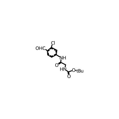 CC(C)(C)OC(=O)NCC(=O)Nc1ccc(C=O)c(Cl)c1